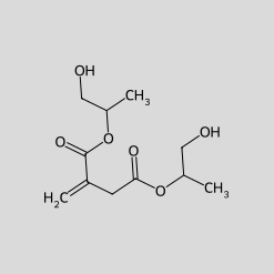 C=C(CC(=O)OC(C)CO)C(=O)OC(C)CO